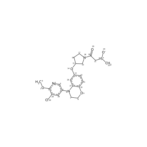 COc1ncc(N2CCOc3ccc(OC4CCN(C(=O)C[S+](C)[O-])C4)cc32)cc1Cl